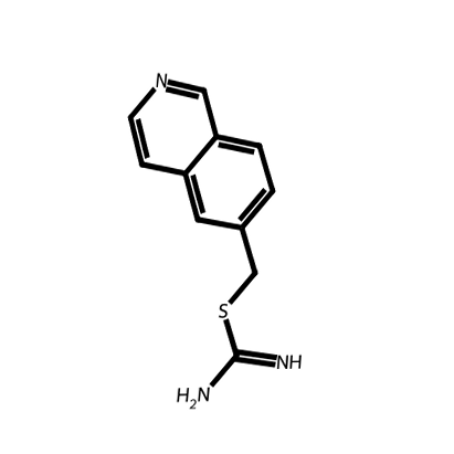 N=C(N)SCc1ccc2cnccc2c1